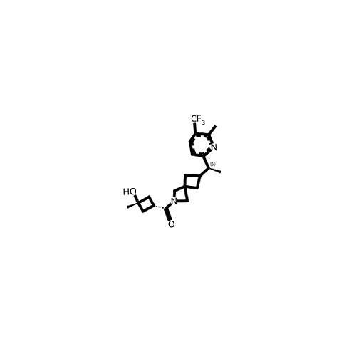 Cc1nc([C@@H](C)C2CC3(C2)CN(C(=O)[C@H]2C[C@@](C)(O)C2)C3)ccc1C(F)(F)F